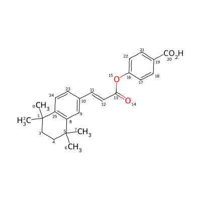 CC1(C)CCC(C)(C)c2cc(C=CC(=O)Oc3ccc(C(=O)O)cc3)ccc21